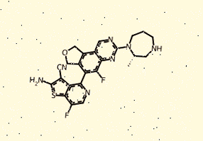 C[C@H]1CNCCCN1c1ncc2c3c(c(-c4ncc(F)c5sc(N)c(C#N)c45)c(F)c2n1)COC3